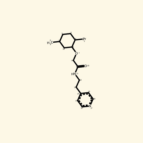 CC1CCC(C(C)C)C(OCC(=O)NCCc2ccncc2)C1